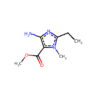 CCc1nc(N)c(C(=O)OC)n1C